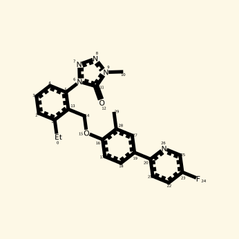 CCc1cccc(-n2nnn(C)c2=O)c1COc1ccc(-c2ccc(F)cn2)cc1C